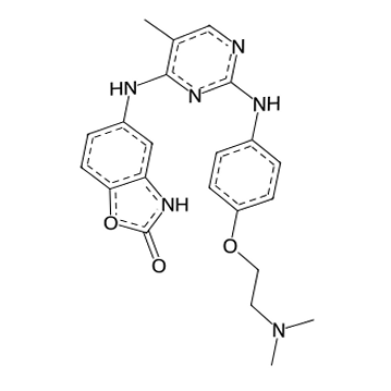 Cc1cnc(Nc2ccc(OCCN(C)C)cc2)nc1Nc1ccc2oc(=O)[nH]c2c1